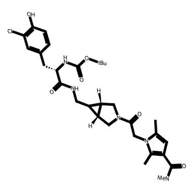 CNC(=O)c1cc(C)n(CC(=O)N2C[C@@H]3C(CNC(=O)[C@H](Cc4ccc(O)c(Cl)c4)NC(=O)OC(C)(C)C)[C@@H]3C2)c1C